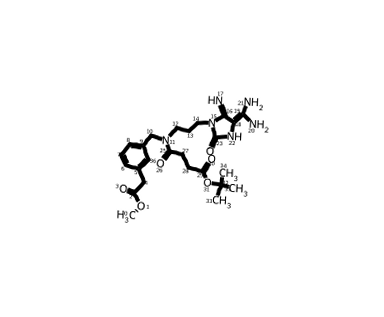 COC(=O)Cc1cccc(CN(CCCN2C(=N)C(=C(N)N)NC2=O)C(=O)CCC(=O)OC(C)(C)C)c1